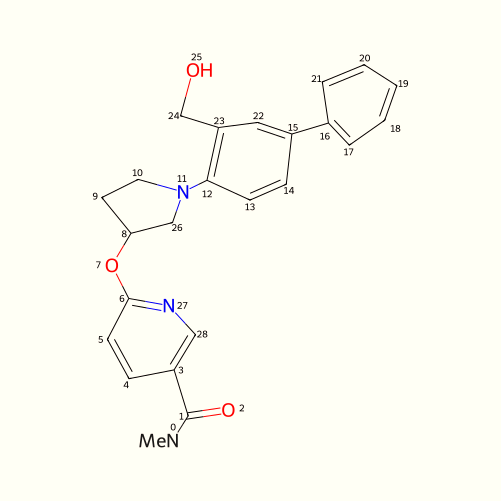 CNC(=O)c1ccc(OC2CCN(c3ccc(-c4ccccc4)cc3CO)C2)nc1